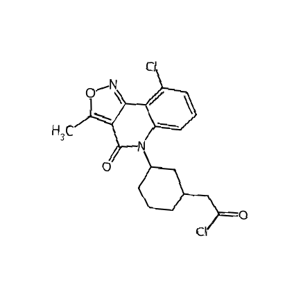 Cc1onc2c1c(=O)n(C1CCCC(CC(=O)Cl)C1)c1cccc(Cl)c21